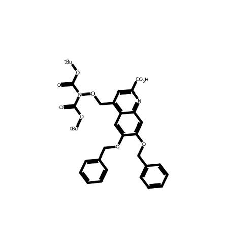 CC(C)(C)OC(=O)N(OCc1cc(C(=O)O)nc2cc(OCc3ccccc3)c(OCc3ccccc3)cc12)C(=O)OC(C)(C)C